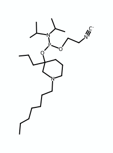 [C-]#[N+]CCOP(OC1(CCC)CCCN(CCCCCCC)C1)N(C(C)C)C(C)C